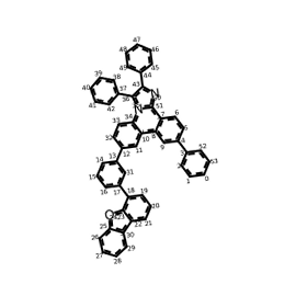 c1ccc(-c2ccc3c(c2)c2cc(-c4cccc(-c5cccc6c5oc5ccccc56)c4)ccc2n2c(-c4ccccc4)c(-c4ccccc4)nc32)cc1